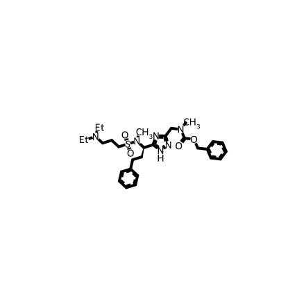 CCN(CC)CCCS(=O)(=O)N(C)[C@H](CCc1ccccc1)c1nc(CN(C)C(=O)OCc2ccccc2)n[nH]1